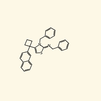 c1ccc(CN=c2scc(C3(c4ccc5ccccc5c4)CCC3)n2Cc2ccccc2)cc1